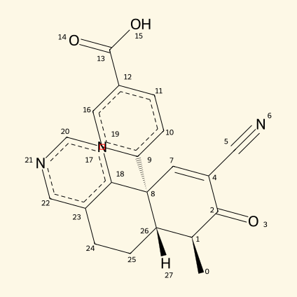 C[C@@H]1C(=O)C(C#N)=C[C@]2(c3ccc(C(=O)O)cc3)c3ncncc3CC[C@@H]12